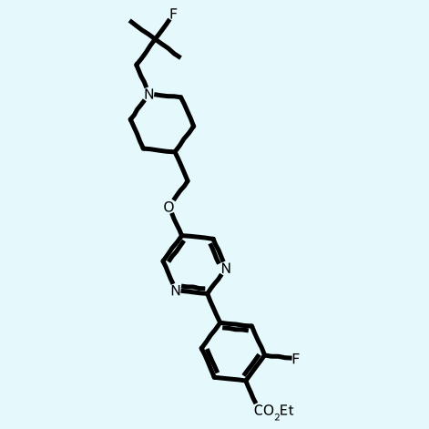 CCOC(=O)c1ccc(-c2ncc(OCC3CCN(CC(C)(C)F)CC3)cn2)cc1F